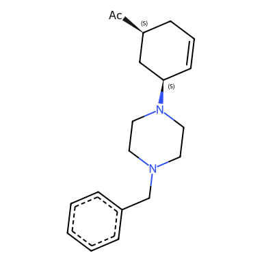 CC(=O)[C@H]1CC=C[C@@H](N2CCN(Cc3ccccc3)CC2)C1